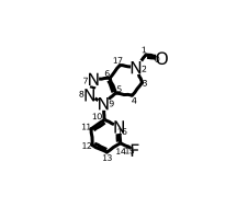 O=CN1CCc2c(nnn2-c2cccc(F)n2)C1